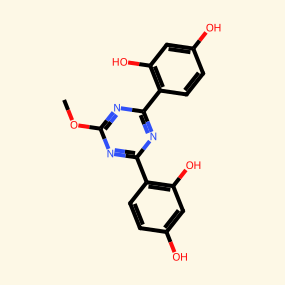 COc1nc(-c2ccc(O)cc2O)nc(-c2ccc(O)cc2O)n1